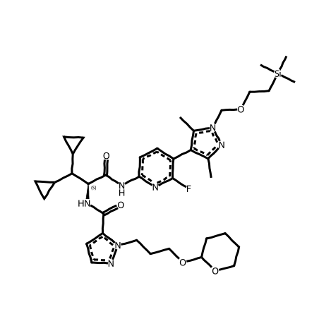 Cc1nn(COCC[Si](C)(C)C)c(C)c1-c1ccc(NC(=O)[C@@H](NC(=O)c2ccnn2CCCOC2CCCCO2)C(C2CC2)C2CC2)nc1F